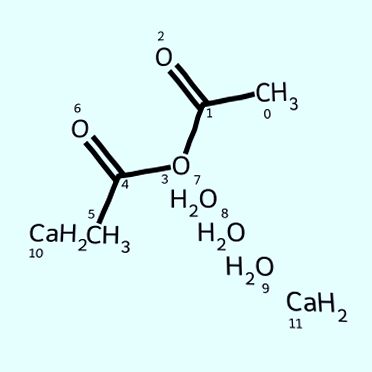 CC(=O)OC(C)=O.O.O.O.[CaH2].[CaH2]